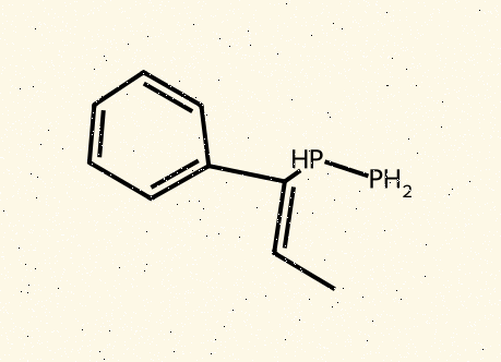 C/C=C(\PP)c1ccccc1